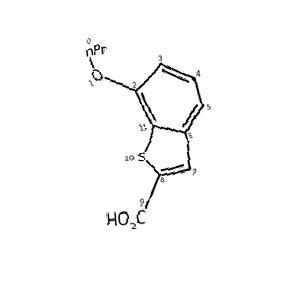 CCCOc1cccc2cc(C(=O)O)sc12